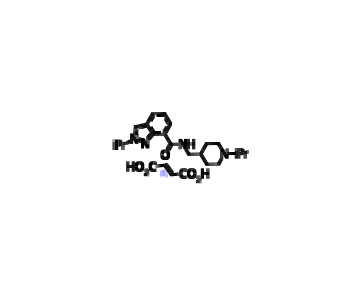 CC(C)N1CCC(CNC(=O)c2cccc3cn(C(C)C)nc23)CC1.O=C(O)/C=C/C(=O)O